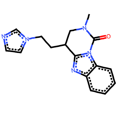 CN1CC(CCn2ccnc2)c2nc3ccccc3n2C1=O